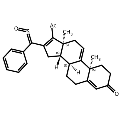 CC(=O)C1=C(C(=S=O)c2ccccc2)C[C@H]2[C@@H]3CCC4=CC(=O)CC[C@]4(C)C3=CC[C@]12C